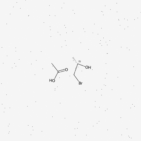 CC(=O)O.C[C@H](O)CBr